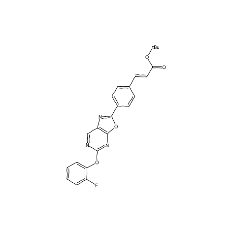 CC(C)(C)OC(=O)C=Cc1ccc(-c2nc3cnc(Oc4ccccc4F)nc3o2)cc1